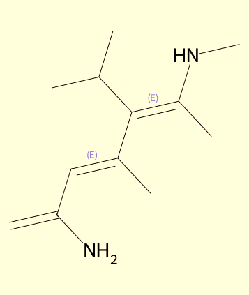 C=C(N)/C=C(C)/C(=C(\C)NC)C(C)C